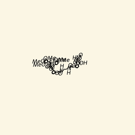 CC[C@H](C(=O)N1CCCC[C@H]1C(=O)O[C@H](CCc1ccc(OC)c(OC)c1)c1cccc(OCC(=O)NCCCCNC(=O)COc2cccc3c2C(=O)N(C2CCC(=O)NC2=O)C3O)c1)c1cc(OC)c(OC)c(OC)c1